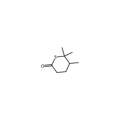 CC1CCC(=O)SC1(C)C